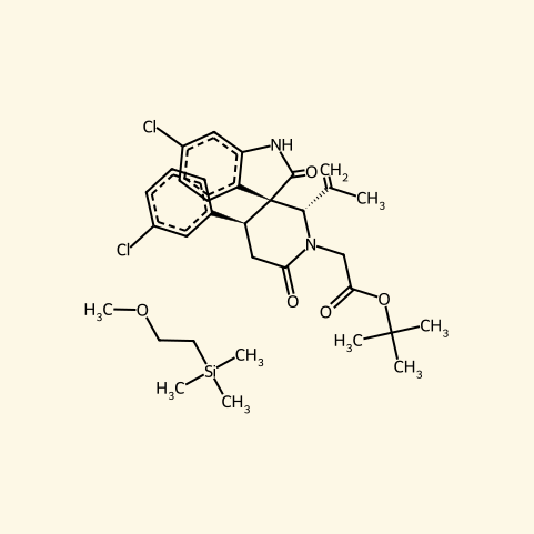 C=C(C)[C@@H]1N(CC(=O)OC(C)(C)C)C(=O)C[C@@H](c2cccc(Cl)c2)[C@]12C(=O)Nc1cc(Cl)ccc12.COCC[Si](C)(C)C